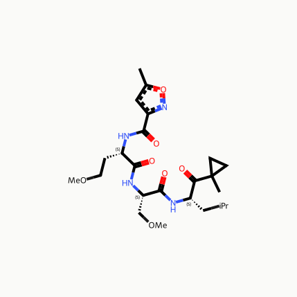 COCC[C@H](NC(=O)c1cc(C)on1)C(=O)N[C@@H](COC)C(=O)N[C@@H](CC(C)C)C(=O)C1(C)CC1